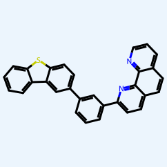 c1cc(-c2ccc3sc4ccccc4c3c2)cc(-c2ccc3ccc4cccnc4c3n2)c1